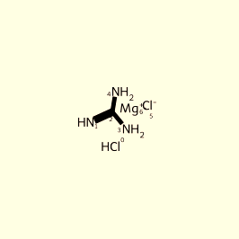 Cl.N=C(N)N.[Cl-].[Mg+]